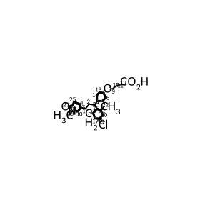 C=C(CC(c1ccc(OCCCC(=O)O)cc1)c1ccc(Cl)cc1C)c1ccc(=O)n(C)c1